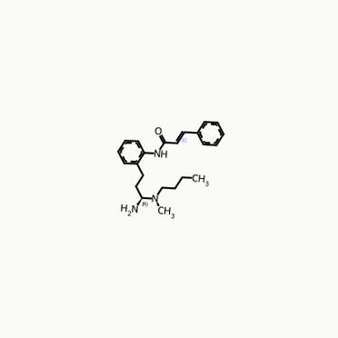 CCCCN(C)[C@@H](N)CCc1ccccc1NC(=O)/C=C/c1ccccc1